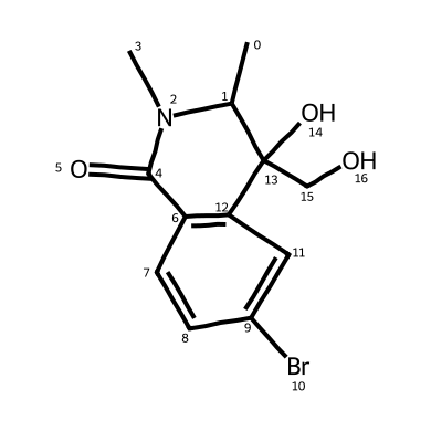 CC1N(C)C(=O)c2ccc(Br)cc2C1(O)CO